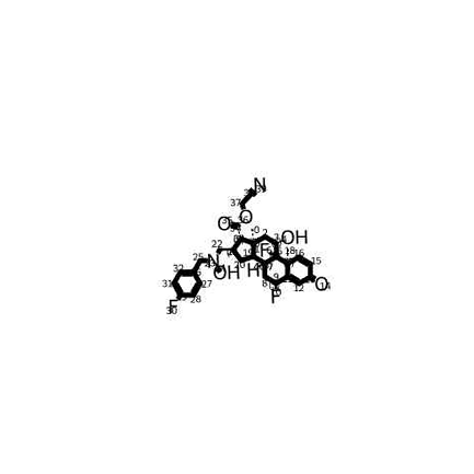 C[C@]12C[C@H](O)[C@@]3(F)[C@@H](C[C@H](F)C4=CC(=O)C=C[C@@]43C)C1C[C@@H](CN(O)Cc1ccc(F)cc1)[C@@H]2C(=O)OCC#N